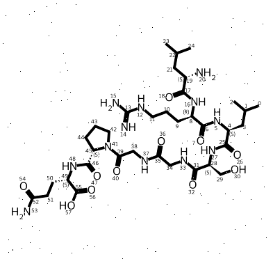 CC(C)C[C@H](NC(=O)[C@@H](CCCNC(=N)N)NC(=O)[C@@H](N)CC(C)C)C(=O)N[C@@H](CO)C(=O)NCC(=O)NCC(=O)N1CCC[C@H]1C(=O)N[C@@H](CCC(N)=O)C(=O)O